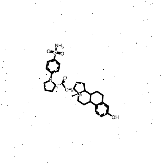 C[C@]12CCC3c4ccc(O)cc4CCC3C1CC[C@@H]2OC(=O)[C@@H]1CCCN1c1ccc(S(N)(=O)=O)cc1